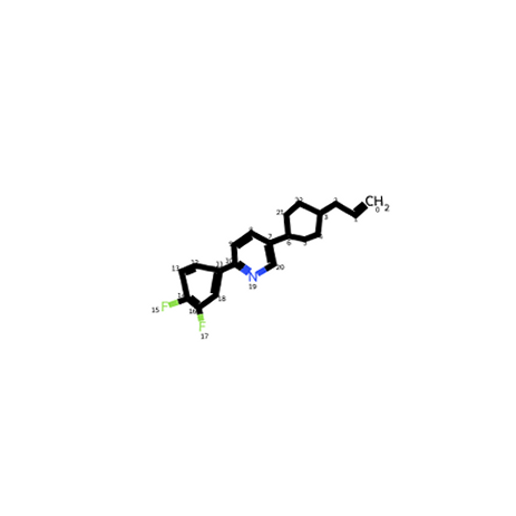 C=CCC1CCC(c2ccc(-c3ccc(F)c(F)c3)nc2)CC1